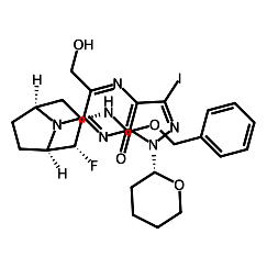 O=C(N[C@H]1C[C@@H]2CC[C@H]([C@H]1F)N2c1nc2c(nc1CO)c(I)nn2[C@H]1CCCCO1)OCc1ccccc1